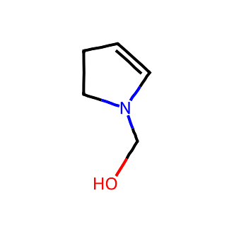 OCN1C=CCC1